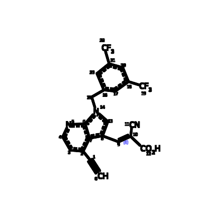 C#Cc1ccnc2c1c(/C=C(\C#N)C(=O)O)cn2Cc1cc(C(F)(F)F)cc(C(F)(F)F)c1